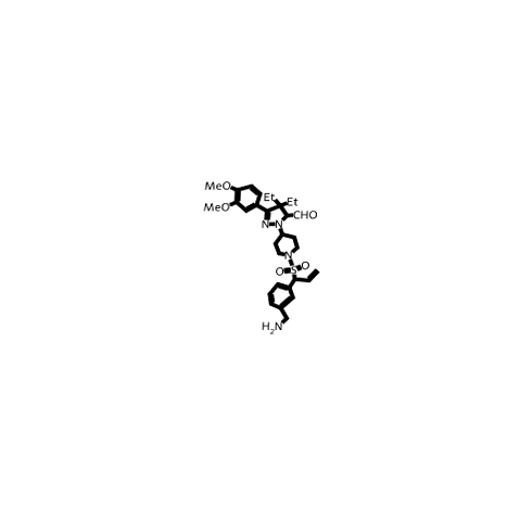 C=CC(c1cccc(CN)c1)S(=O)(=O)N1CCC(N2N=C(c3ccc(OC)c(OC)c3)C(CC)(CC)C2C=O)CC1